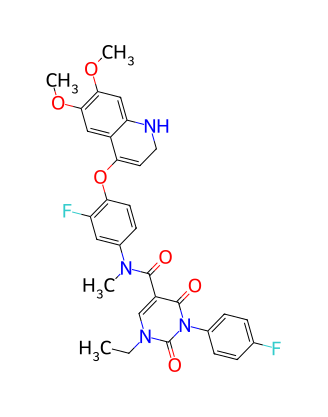 CCn1cc(C(=O)N(C)c2ccc(OC3=CCNc4cc(OC)c(OC)cc43)c(F)c2)c(=O)n(-c2ccc(F)cc2)c1=O